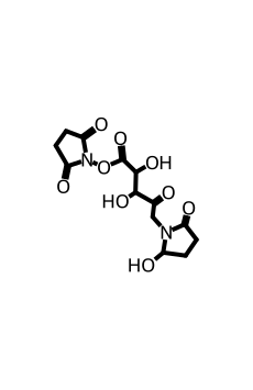 O=C(CN1C(=O)CCC1O)C(O)C(O)C(=O)ON1C(=O)CCC1=O